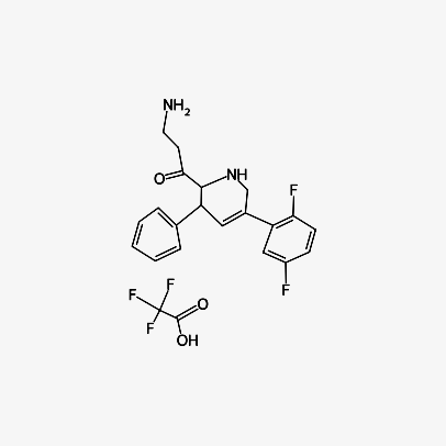 NCCC(=O)C1NCC(c2cc(F)ccc2F)=CC1c1ccccc1.O=C(O)C(F)(F)F